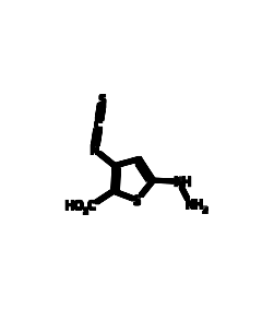 NNc1cc(N=C=S)c(C(=O)O)s1